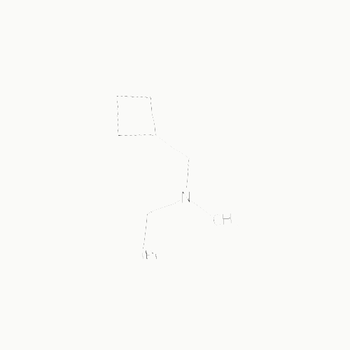 CC(C)CN(C)CC1CCC1